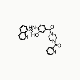 O=C(c1ccc(NSc2cccc3cccnc23)c(O)c1)N1CCN(C(=O)c2ccccn2)CC1